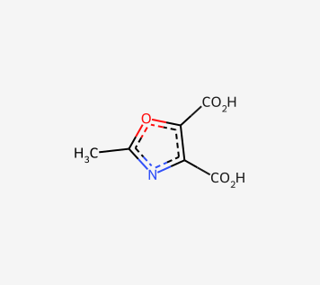 Cc1nc(C(=O)O)c(C(=O)O)o1